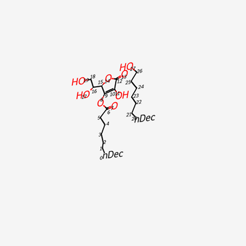 CCCCCCCCCCCCCCCC(=O)OC1=C(O)C(=O)O[C@@H]1[C@@H](O)CO.CCCCCCCCCCCCCCCCO